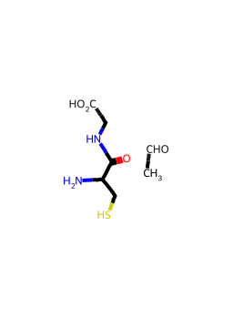 CC=O.NC(CS)C(=O)NCC(=O)O